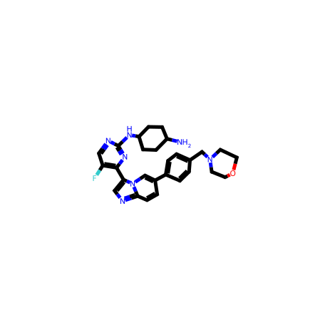 NC1CCC(Nc2ncc(F)c(-c3cnc4ccc(-c5ccc(CN6CCOCC6)cc5)cn34)n2)CC1